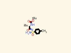 CC[C@H](C)[C@H](NC(=O)OC(C)(C)C)C(=O)N=S(N)(=O)c1ccc(C)cc1